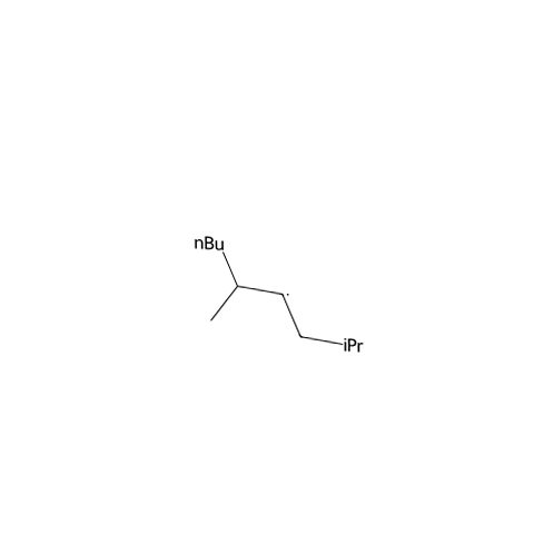 CCCCC(C)[CH]CC(C)C